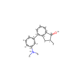 CC1Cc2c(cccc2-c2cccc(N(C)C)c2)C1=O